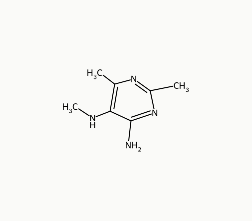 CNc1c(C)nc(C)nc1N